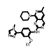 CCOc1cc(-c2nncn2C)ccc1Nc1ncc2cc(C)nc(N3CCCCC3)c2n1